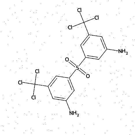 Nc1cc(C(Cl)(Cl)Cl)cc(S(=O)(=O)c2cc(N)cc(C(Cl)(Cl)Cl)c2)c1